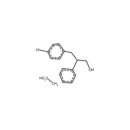 CS(=O)(=O)O.OCC(Cc1ccc(Cl)cc1)c1ccccc1